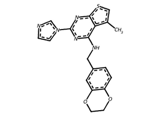 Cc1csc2nc(-n3ccnc3)nc(NCc3ccc4c(c3)OCCO4)c12